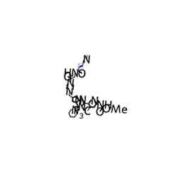 COC(=O)Nc1cc(C(F)(F)F)c(-c2nc(N3CCCCC3)c3cc(CN4CCN(C(=O)CNC(=O)/C=C/CN(C)C)CC4)cn3n2)cn1